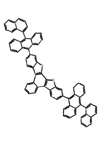 C1=Cc2c(c(-c3ccc4c(c3)sc3c5sc6cc(-c7c8ccccc8c(-c8cccc9ccccc89)c8ccccc78)ccc6c5c5ccccc5c43)c3ccccc3c2-c2cccc3ccccc23)CC1